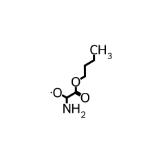 CCCCOC(=O)C(N)[O]